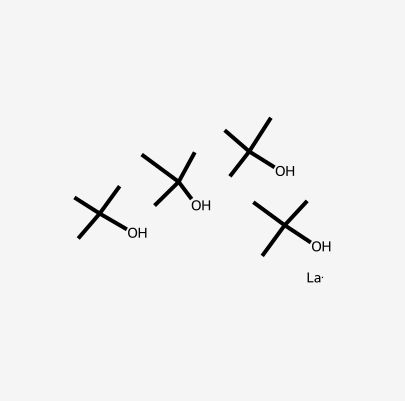 CC(C)(C)O.CC(C)(C)O.CC(C)(C)O.CC(C)(C)O.[La]